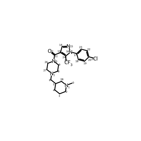 CN1CCCC(CN2CCN(C(=O)c3cnn(-c4ccc(Cl)cc4)c3C(F)(F)F)CC2)C1